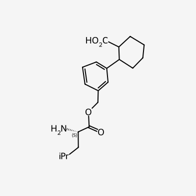 CC(C)C[C@H](N)C(=O)OCc1cccc(C2CCCCC2C(=O)O)c1